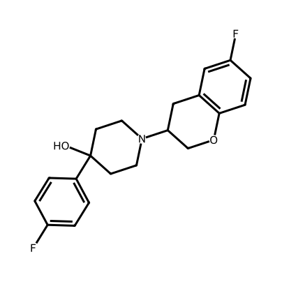 OC1(c2ccc(F)cc2)CCN(C2COc3ccc(F)cc3C2)CC1